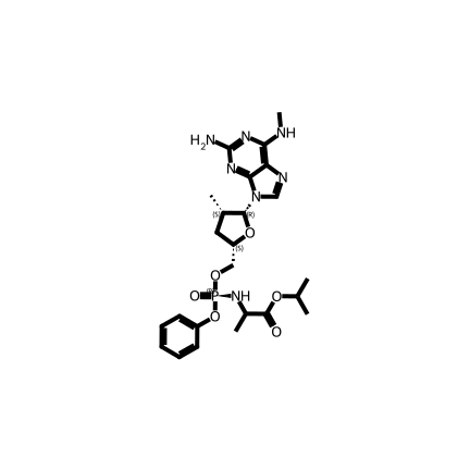 CNc1nc(N)nc2c1ncn2[C@@H]1O[C@H](CO[P@](=O)(NC(C)C(=O)OC(C)C)Oc2ccccc2)C[C@@H]1C